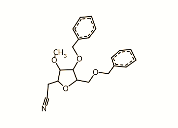 COC1C(CC#N)OC(COCc2ccccc2)C1OCc1ccccc1